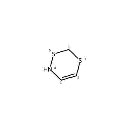 [C]1SC=CNS1